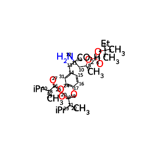 CCC(C)(C)OC(=O)O[C@@H](C)CC(N)(Cc1ccc(OC(=O)C(C)C(C)C)c(OC(=O)C(C)C(C)C)c1)C(=O)O